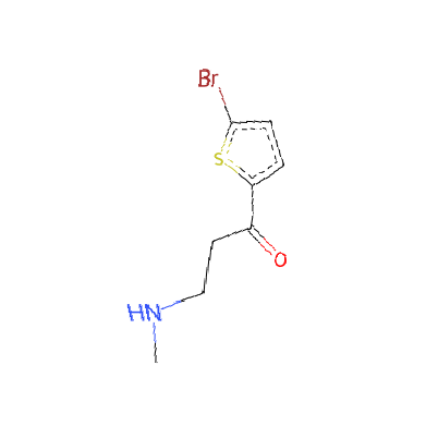 CNCCC(=O)c1ccc(Br)s1